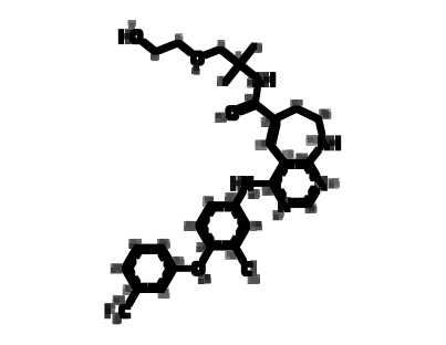 CC(C)(COCCO)NC(=O)C1=Cc2c(ncnc2Nc2ccc(Oc3cccc(C(F)(F)F)c3)c(Cl)c2)NCC1